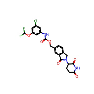 O=C1CCC(N2Cc3ccc(COC(=O)Nc4cc(Cl)cc(OC(F)F)c4)cc3C2=O)C(=O)N1